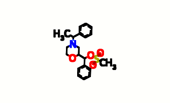 CC(c1ccccc1)N1CCOC(C(OS(C)(=O)=O)c2ccccc2)C1